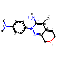 CN(C)c1ccc(N2N=C3COCC=C3C(C#N)=C2N)cc1